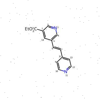 CCOC(=O)c1cncc(/C=C/c2ccncc2)c1